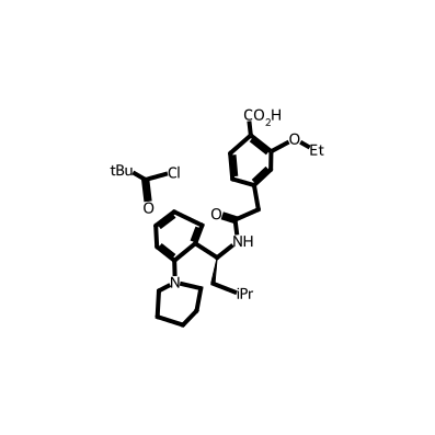 CC(C)(C)C(=O)Cl.CCOc1cc(CC(=O)N[C@@H](CC(C)C)c2ccccc2N2CCCCC2)ccc1C(=O)O